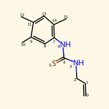 C=CCNC(=S)Nc1cc(C)c(C)cc1C